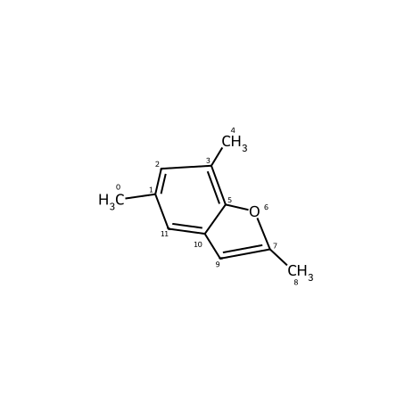 Cc1cc(C)c2oc(C)cc2c1